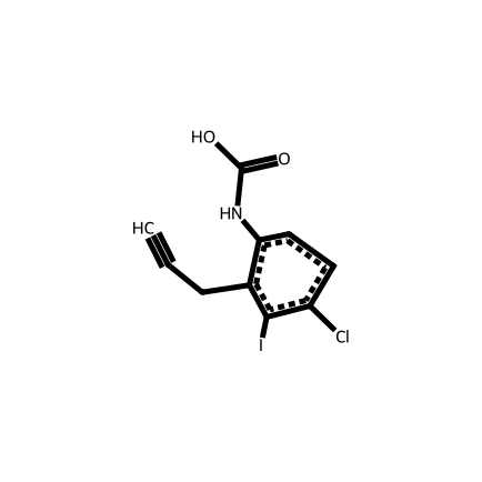 C#CCc1c(NC(=O)O)ccc(Cl)c1I